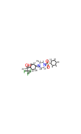 C[C@H]1CN(S(=O)(=O)c2ccccc2)CCN1c1ccc(C(C)(O)C(F)(F)F)cc1